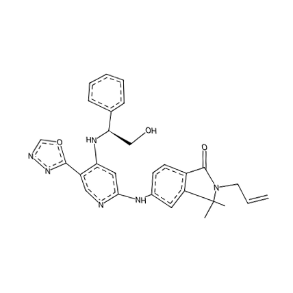 C=CCN1C(=O)c2ccc(Nc3cc(N[C@H](CO)c4ccccc4)c(-c4nnco4)cn3)cc2C1(C)C